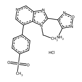 CCn1c(-c2nonc2N)nc2cncc(-c3ccc(S(C)(=O)=O)cc3)c21.Cl